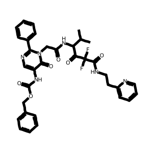 CC(C)C(NC(=O)Cn1c(-c2ccccc2)ncc(NC(=O)OCc2ccccc2)c1=O)C(=O)C(F)(F)C(=O)NCCc1ccccn1